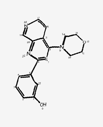 Oc1cccc(-c2nc(N3CCOCC3)c3ccncc3n2)c1